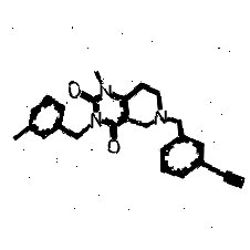 C#Cc1cccc(CN2CCc3c(c(=O)n(Cc4cccc(C)c4)c(=O)n3C)C2)c1